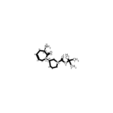 CC(C)(C)OC(=O)N1CCC[C@@H](N2CC=CC[C@@H](N)C2=O)C1